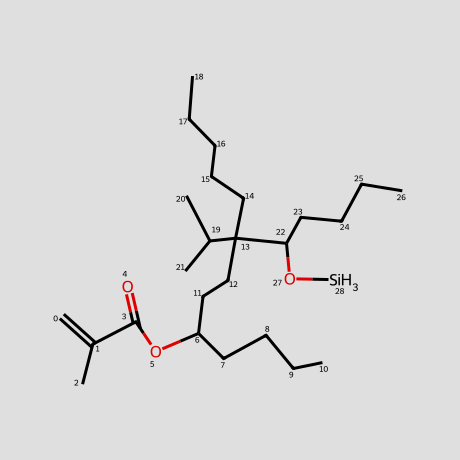 C=C(C)C(=O)OC(CCCC)CCC(CCCCC)(C(C)C)C(CCCC)O[SiH3]